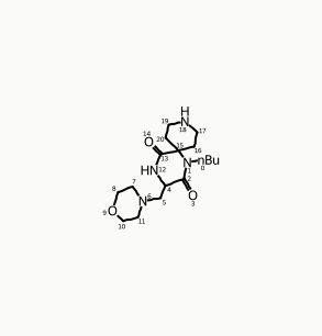 CCCCN1C(=O)C(CN2CCOCC2)NC(=O)C12CCNCC2